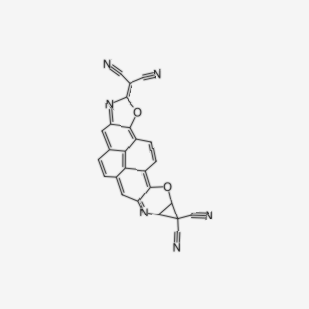 N#CC(C#N)=c1nc2cc3ccc4cc5c(c6ccc(c2o1)c3c46)OC1C(N=5)C1(C#N)C#N